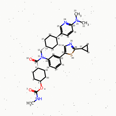 CNC(=O)O[C@H]1CC[C@H](C(=O)N(C[C@H]2CC[C@H](c3ccc(N(C)C)nc3)CC2)c2cccc(-c3cnc(C4CC4)s3)c2)CC1